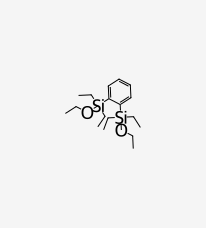 CCO[Si](CC)(CC)c1ccccc1[Si](CC)(CC)OCC